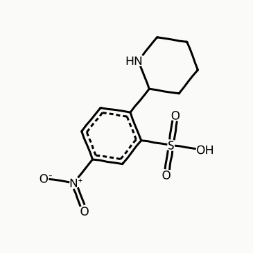 O=[N+]([O-])c1ccc(C2CCCCN2)c(S(=O)(=O)O)c1